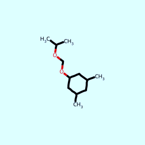 CC1CC(C)CC(OCOC(C)C)C1